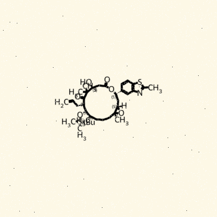 C=CC[C@H]1C(=O)C(C)(C)[C@@H](O)CC(=O)O[C@H](c2ccc3sc(C)nc3c2)C[C@@H]2O[C@]2(C)CCC[C@H](C)[C@@H]1O[Si](C)(C)C(C)(C)C